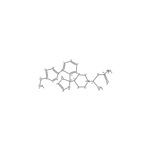 COc1ccc(-c2ccccc2C2(C3CCN(C(C)CC(N)=O)CC3)OC=CO2)cc1